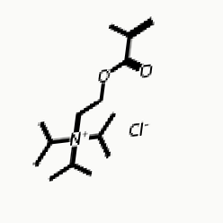 C=C(C)C(=O)OCC[N+](C(C)C)(C(C)C)C(C)C.[Cl-]